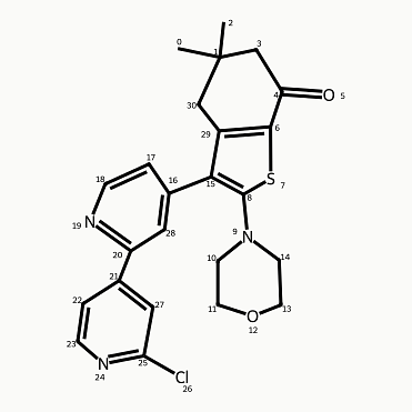 CC1(C)CC(=O)c2sc(N3CCOCC3)c(-c3ccnc(-c4ccnc(Cl)c4)c3)c2C1